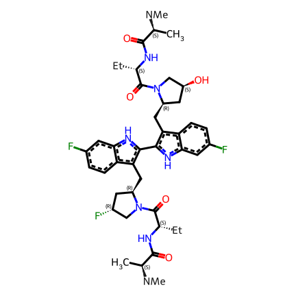 CC[C@H](NC(=O)[C@H](C)NC)C(=O)N1C[C@@H](O)C[C@H]1Cc1c(-c2[nH]c3cc(F)ccc3c2C[C@@H]2C[C@@H](F)CN2C(=O)[C@H](CC)NC(=O)[C@H](C)NC)[nH]c2cc(F)ccc12